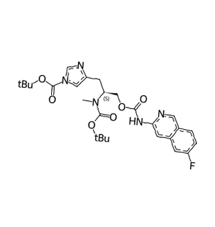 CN(C(=O)OC(C)(C)C)[C@H](COC(=O)Nc1cc2cc(F)ccc2cn1)Cc1cn(C(=O)OC(C)(C)C)cn1